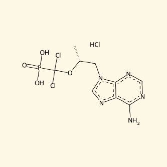 C[C@H](Cn1cnc2c(N)ncnc21)OC(Cl)(Cl)P(=O)(O)O.Cl